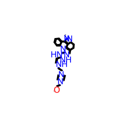 COCCN1CCN(CCN/C=C\C(=N)Nc2ncc3c(n2)-c2c(nn(C)c2-c2ccccc2)CC3)CC1